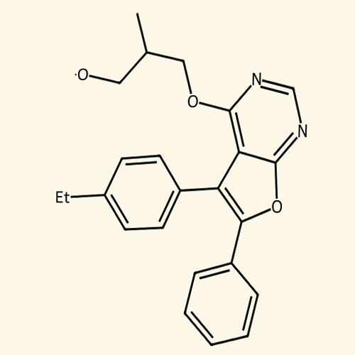 CCc1ccc(-c2c(-c3ccccc3)oc3ncnc(OCC(C)C[O])c23)cc1